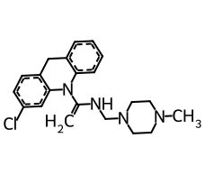 C=C(NCN1CCN(C)CC1)N1c2ccccc2Cc2ccc(Cl)cc21